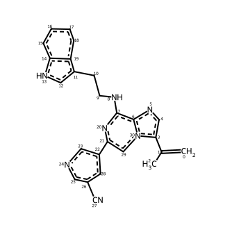 C=C(C)c1cnc2c(NCCc3c[nH]c4ccccc34)nc(-c3cncc(C#N)c3)cn12